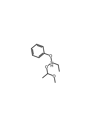 CC[SiH](Oc1ccccc1)OC(C)OC